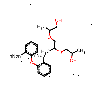 CC(O)COC(C)COC(C)CO.CCCCCCCCCc1ccccc1Oc1ccccc1CCCCCCCCC